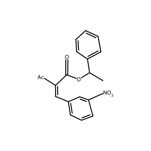 CC(=O)C(=Cc1cccc([N+](=O)[O-])c1)C(=O)OC(C)c1ccccc1